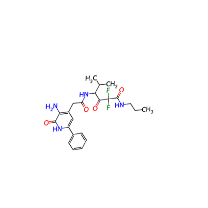 CCCNC(=O)C(F)(F)C(=O)C(NC(=O)Cc1cc(-c2ccccc2)[nH]c(=O)c1N)C(C)C